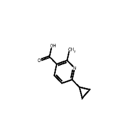 Cc1nc(C2CC2)ccc1C(=O)O